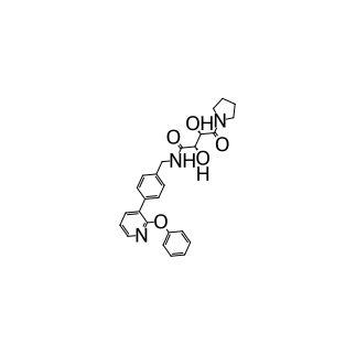 O=C(NCc1ccc(-c2cccnc2Oc2ccccc2)cc1)[C@H](O)[C@@H](O)C(=O)N1CCCC1